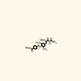 COC(=O)c1ccc(COc2c(C)cc(/C=C(\C=O)C(=O)NC(N)=O)cc2C)cc1